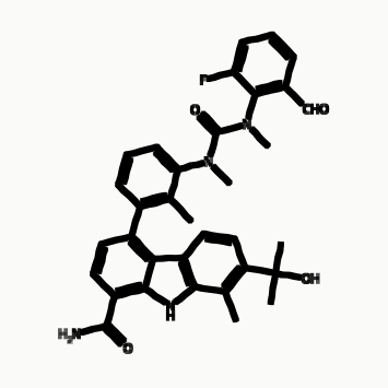 Cc1c(-c2ccc(C(N)=O)c3[nH]c4c(C)c(C(C)(C)O)ccc4c23)cccc1N(C)C(=O)N(C)c1c(F)cccc1C=O